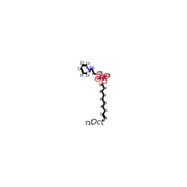 CCCCCCCCC=CCCCCCCCCOP(=O)([O-])OCC[n+]1ccccc1